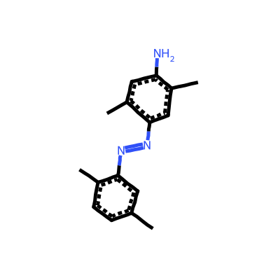 Cc1ccc(C)c(N=Nc2cc(C)c(N)cc2C)c1